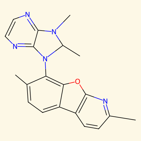 Cc1ccc2c(n1)oc1c(N3c4nccnc4N(C)C3C)c(C)ccc12